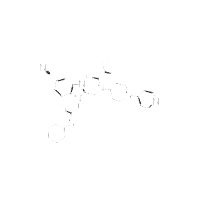 CCC(=O)C(=O)N(Cc1nc2cc(C#N)ccc2n1CC(=O)NC1CCCCC1)C1CCN(c2ccncc2)CC1